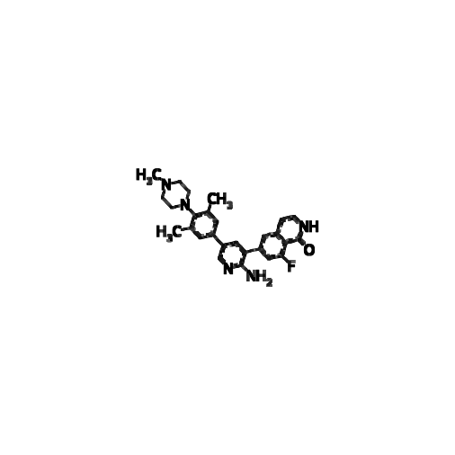 Cc1cc(-c2cnc(N)c(-c3cc(F)c4c(=O)[nH]ccc4c3)c2)cc(C)c1N1CCN(C)CC1